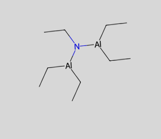 CC[N]([Al]([CH2]C)[CH2]C)[Al]([CH2]C)[CH2]C